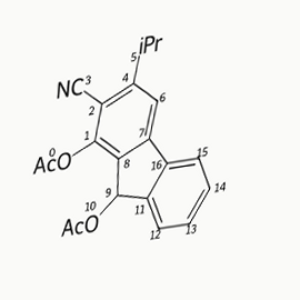 CC(=O)Oc1c(C#N)c(C(C)C)cc2c1C(OC(C)=O)c1ccccc1-2